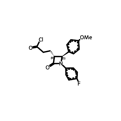 COc1ccc([C@@H]2[C@@H](CCC(=O)Cl)C(=O)N2c2ccc(F)cc2)cc1